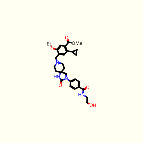 CCOc1cc(C(=O)OC)c(C2CC2)cc1CN1CCC2(CC1)CN(c1ccc(C(=O)NCCO)cc1)C(=O)N2